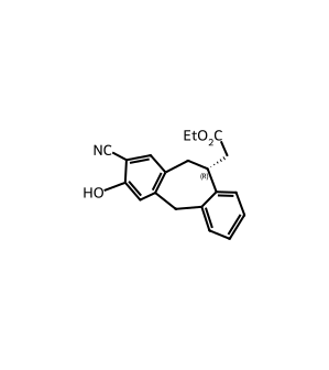 CCOC(=O)C[C@H]1Cc2cc(C#N)c(O)cc2Cc2ccccc21